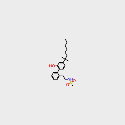 CCCCCCC(C)(C)c1ccc(-c2ccccc2CCNS(C)(=O)=O)c(O)c1